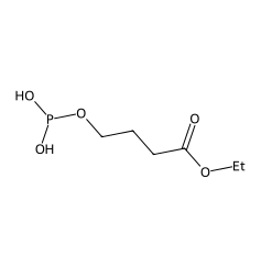 CCOC(=O)CCCOP(O)O